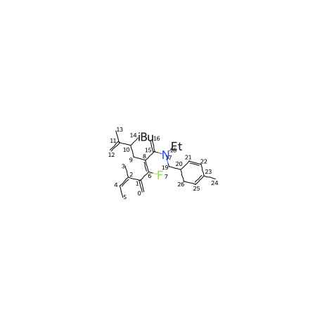 C=C(/C(C)=C\C)/C(F)=C(\CC(C(=C)C)C(C)CC)C(=C)N(CC)CC1C=CC(C)=CC1